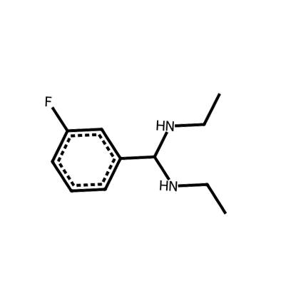 CCNC(NCC)c1cccc(F)c1